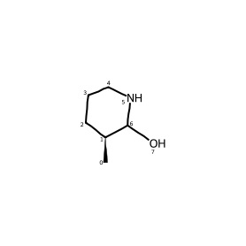 C[C@H]1CCCNC1O